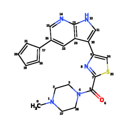 CN1CCN(C(=O)c2nc(-c3c[nH]c4ncc(C5=C=CC=C5)cc34)cs2)CC1